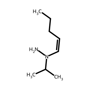 CCC/C=C\N(N)C(C)C